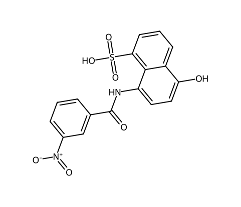 O=C(Nc1ccc(O)c2cccc(S(=O)(=O)O)c12)c1cccc([N+](=O)[O-])c1